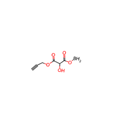 BOC(=O)C(O)C(=O)OCC#C